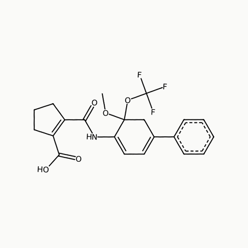 COC1(OC(F)(F)F)CC(c2ccccc2)=CC=C1NC(=O)C1=C(C(=O)O)CCC1